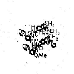 COc1ccc(N2CCOCC2)c2sc(NC(=O)c3ccc(CN(C)C(=O)CN(C)C)cc3)nc12.COc1ccc(N2CCOCC2)c2sc(NC(=O)c3ccc(CN(C)C(=O)CN4CCCC4)cc3)nc12